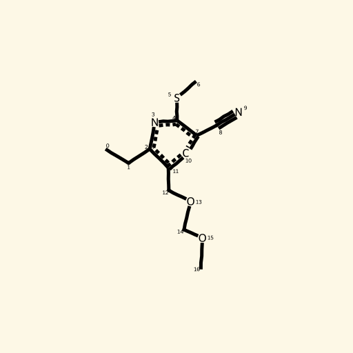 CCc1nc(SC)c(C#N)cc1COCOC